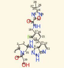 C[C@H]1CC[C@@H](Nc2n[nH]c3nccc(-c4ccc(CNC(=O)c5nc(C(C)(C)C)no5)c(F)c4)c23)CN1C(=O)CO